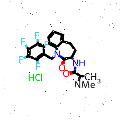 CNC(C)C(=O)NC1CCc2ccccc2N(Cc2c(F)c(F)c(F)c(F)c2F)C1=O.Cl